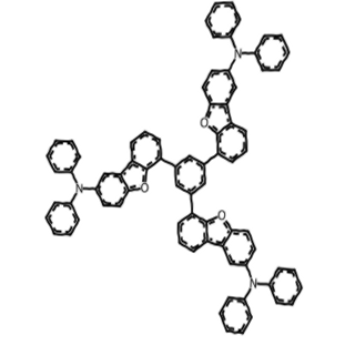 c1ccc(N(c2ccccc2)c2ccc3oc4c(-c5cc(-c6cccc7c6oc6ccc(N(c8ccccc8)c8ccccc8)cc67)cc(-c6cccc7c6oc6ccc(N(c8ccccc8)c8ccccc8)cc67)c5)cccc4c3c2)cc1